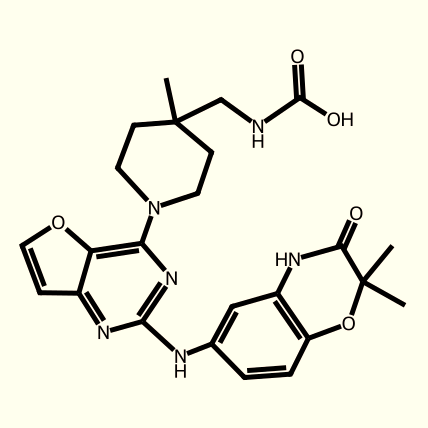 CC1(CNC(=O)O)CCN(c2nc(Nc3ccc4c(c3)NC(=O)C(C)(C)O4)nc3ccoc23)CC1